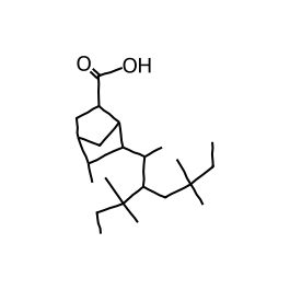 CCC(C)(C)CC(C(C)C1C(C)C2CC(C(=O)O)C1C2)C(C)(C)CC